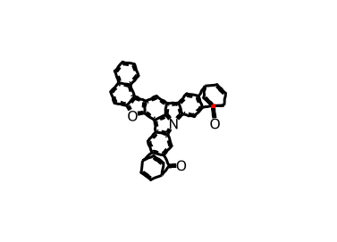 O=C1c2cc3c(cc2C2C=CC1C=C2)c1cc2c(oc4ccc5ccccc5c42)c2c4cc5c(cc4n3c12)C(=O)C1C=CC5C=C1